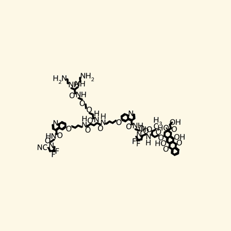 C[C@@H]1O[C@@H](O[C@H]2C[C@](O)(C(=O)CO)Cc3c(O)c4c(c(O)c32)C(=O)c2ccccc2C4=O)C[C@H](NC(=O)C2CC(F)(F)CN2C(=O)CNC(=O)c2ccnc3ccc(OCCCCNC(=O)C(CCC(=O)NCCCCOc4ccc5nccc(C(=O)NCC(=O)N6CC(F)(F)C[C@@H]6C#N)c5c4)NC(=O)CCOCCOCCNC(=O)C(CNCCN)CNCCN)cc23)[C@@H]1O